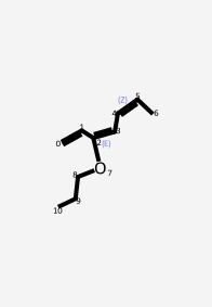 C=C/C(=C\C=C/C)OCCC